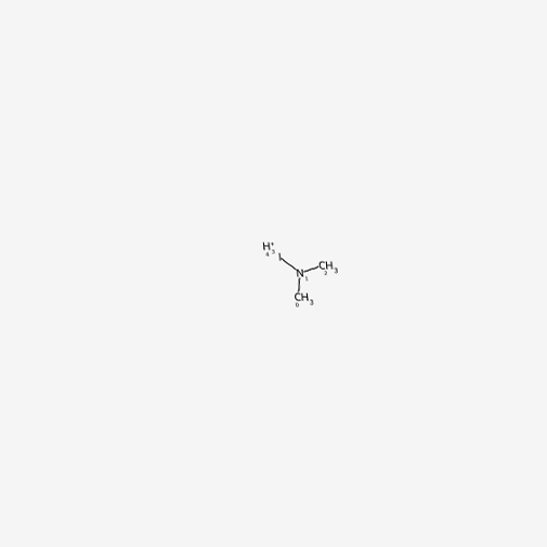 CN(C)I.[H+]